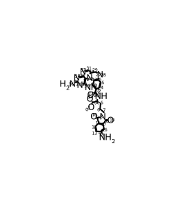 COC(=O)[C@H](CCCN1C(=O)c2ccc(N)cc2C1=O)NC(=O)c1ccc(N(C)Cc2cnc3nc(N)nc(N)c3n2)cc1